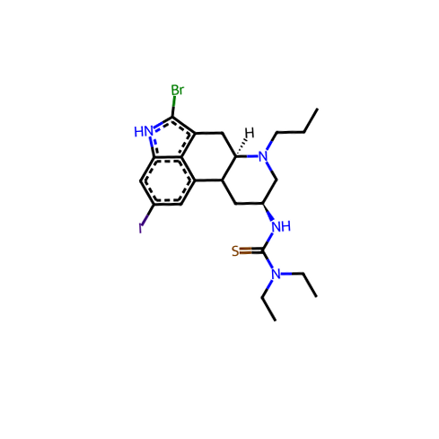 CCCN1C[C@@H](NC(=S)N(CC)CC)CC2c3cc(I)cc4[nH]c(Br)c(c34)C[C@H]21